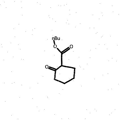 CCCCOC(=O)C1CCCCC1=O